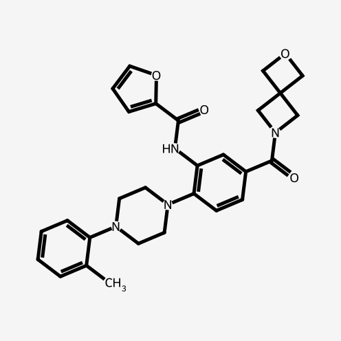 Cc1ccccc1N1CCN(c2ccc(C(=O)N3CC4(COC4)C3)cc2NC(=O)c2ccco2)CC1